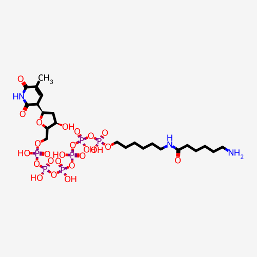 CC1=CC([C@H]2C[C@@H](O)C(COP(=O)(O)OP(=O)(O)OP(=O)(O)OP(=O)(O)OP(=O)(O)OP(=O)(O)OCCCCCCNC(=O)CCCCCN)O2)C(=O)NC1=O